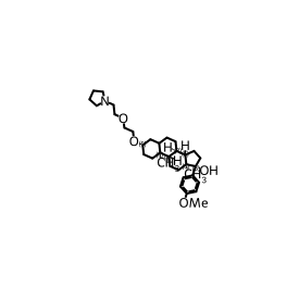 COc1ccc([C@]2(O)CC[C@H]3[C@@H]4CCC5C[C@@H](OCCOCCN6CCCC6)CC[C@]5(C)[C@H]4CC[C@@]32C)cc1